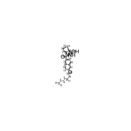 CC(C)CCCC(C)CCOc1ccc2cc(C(=O)N3NN(O)c4ccccc43)ccc2c1